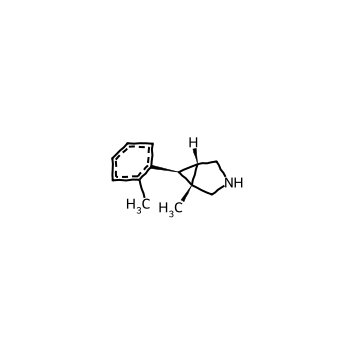 Cc1ccccc1[C@H]1[C@@H]2CNC[C@@]21C